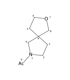 CC(=O)N1CCC2(CCOC2)C1